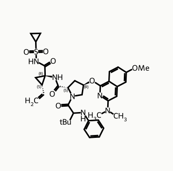 C=C[C@@H]1C[C@]1(NC(=O)[C@@H]1C[C@@H](Oc2nc(N(C)C)cc3cc(OC)ccc23)CN1C(=O)C(Nc1ccccc1)C(C)(C)C)C(=O)NS(=O)(=O)C1CC1